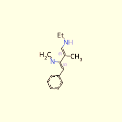 C=NC(=C\c1ccccc1)/C(C)=C/NCC